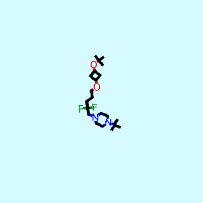 CC(C)(C)OC1CC(OCCCC(F)(F)CN2CCN(C(C)(C)C)CC2)C1